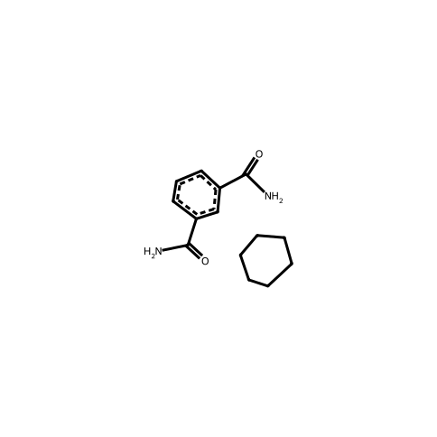 C1CCCCC1.NC(=O)c1cccc(C(N)=O)c1